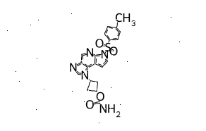 Cc1ccc(S(=O)(=O)n2ccc3c2ncc2ncn([C@H]4C[C@@H](OC(N)=O)C4)c23)cc1